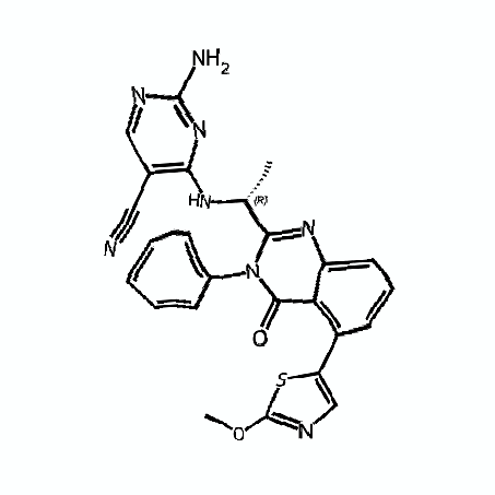 COc1ncc(-c2cccc3nc([C@@H](C)Nc4nc(N)ncc4C#N)n(-c4ccccc4)c(=O)c23)s1